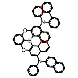 C1=CC2C(N(c3ccccc3)c3ccc4ccccc4c3)=CC3=C(B4c5c(cccc5Oc5cc(N(c6ccccc6)c6ccccc6-c6ccccc6)c6ccccc6c54)O3)C2C=C1